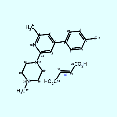 Cc1cc(-c2ccc(F)cc2)cc(N2CCN(C)CC2)n1.O=C(O)/C=C/C(=O)O